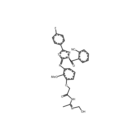 COc1c(/N=c2/sc(-c3ccc(F)cc3)nn2C(=O)c2ccccc2C#N)cccc1OCC(=O)N/C(C)=N\CO